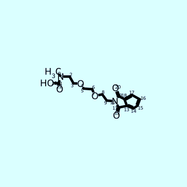 CN(CCOCCOCCN1C(=O)c2ccccc2C1=O)C(=O)O